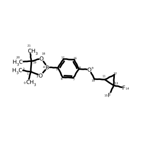 CC1(C)OB(c2ccc(OCC3CC3(F)F)cc2)OC1(C)C